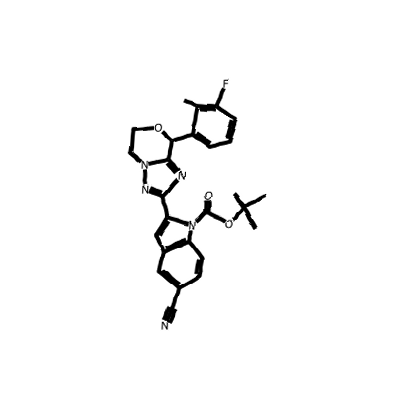 Cc1c(F)cccc1C1OCCn2nc(-c3cc4cc(C#N)ccc4n3C(=O)OC(C)(C)C)nc21